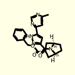 Cc1cc(-c2cc(C(=O)N3[C@@H]4CC[C@H]3C[C@H](C(=O)OCc3ccccc3)C4)n[nH]2)ncn1